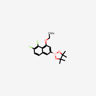 COCOc1cc(B2OC(C)(C)C(C)(C)O2)cc2ccc(F)c(F)c12